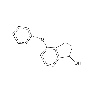 OC1CCc2c(Oc3ccccc3)cccc21